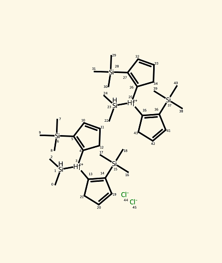 C[SiH](C)[Hf+]([C]1=C([Si](C)(C)C)C=CC1)[C]1=C([Si](C)(C)C)C=CC1.C[SiH](C)[Hf+]([C]1=C([Si](C)(C)C)C=CC1)[C]1=C([Si](C)(C)C)C=CC1.[Cl-].[Cl-]